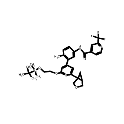 Cc1ccc(NC(=O)c2ccnc(C(F)(F)F)c2)cc1-c1cc(OCCO[Si](C)(C)C(C)(C)C)nc(C23COCC2C3)c1